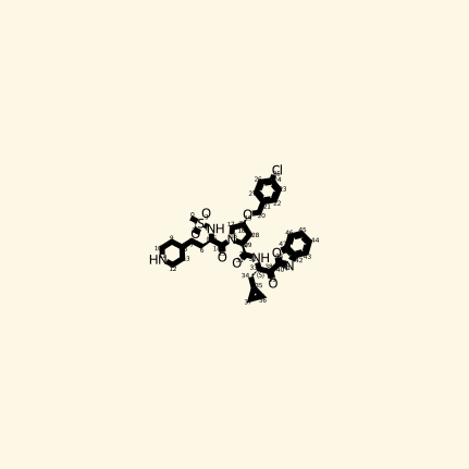 CS(=O)(=O)N[C@H](CCC1CCNCC1)C(=O)N1C[C@H](OCc2ccc(Cl)cc2)C[C@H]1C(=O)N[C@@H](CC1CC1)C(=O)c1nc2ccccc2o1